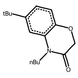 CCCCN1C(=O)COc2ccc(C(C)(C)C)cc21